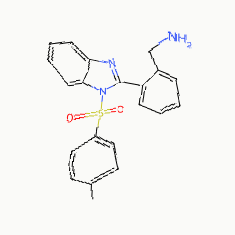 Cc1ccc(S(=O)(=O)n2c(-c3ccccc3CN)nc3ccccc32)cc1